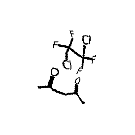 CC(=O)CC(C)=O.FC(F)(Cl)C(F)(F)Cl